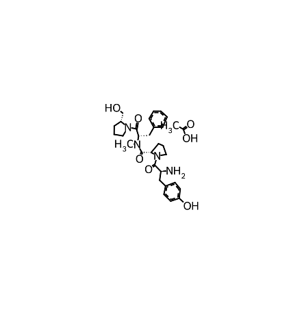 CC(=O)O.CN(C(=O)[C@@H]1CCCN1C(=O)[C@@H](N)Cc1ccc(O)cc1)[C@@H](Cc1ccccc1)C(=O)N1CCC[C@@H]1CO